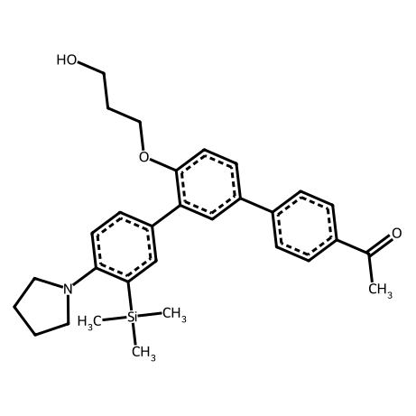 CC(=O)c1ccc(-c2ccc(OCCCO)c(-c3ccc(N4CCCC4)c([Si](C)(C)C)c3)c2)cc1